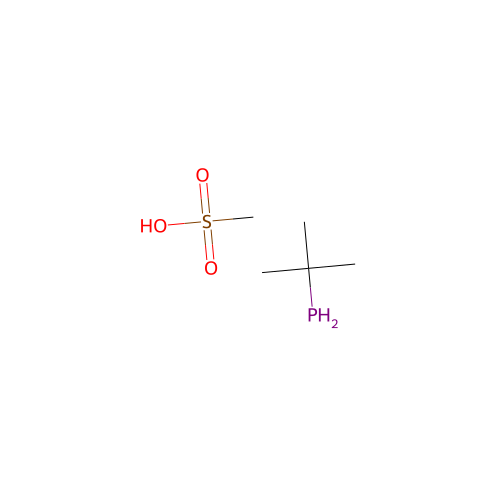 CC(C)(C)P.CS(=O)(=O)O